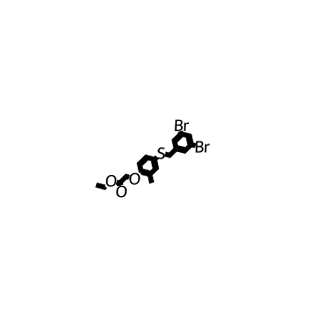 CCOC(=O)COc1ccc(SCc2cc(Br)cc(Br)c2)cc1C